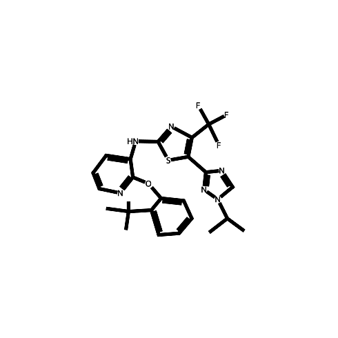 CC(C)n1cnc(-c2sc(Nc3cccnc3Oc3ccccc3C(C)(C)C)nc2C(F)(F)F)n1